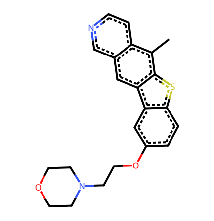 Cc1c2ccncc2cc2c1sc1ccc(OCCN3CCOCC3)cc12